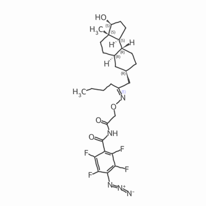 CCCC/C(C[C@@H]1CC[C@@H]2[C@H](CC[C@]3(C)[C@@H](O)CC[C@@H]23)C1)=N\OCC(=O)NC(=O)c1c(F)c(F)c(N=[N+]=[N-])c(F)c1F